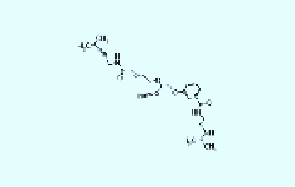 CC(C)C#CCNC(=O)COCCO[C@H](COc1cccc(C(=O)NCCNC(C)C)c1)SC#N